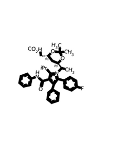 CC(C)c1c(C(=O)Nc2ccccc2)c(-c2ccccc2)c(-c2ccc(F)cc2)n1C(C)[C@H]1C[C@H](CC(=O)O)OC(C)(C)O1